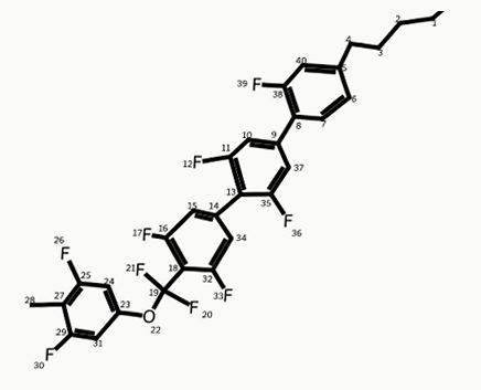 CCCCCc1ccc(-c2cc(F)c(-c3cc(F)c(C(F)(F)Oc4cc(F)c(C)c(F)c4)c(F)c3)c(F)c2)c(F)c1